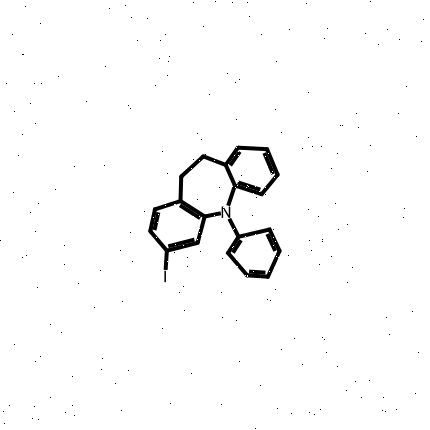 Ic1ccc2c(c1)N(c1ccccc1)c1ccccc1CC2